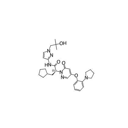 CC(C)(O)Cn1ccc(NC(=O)[C@H](CC2CCCC2)n2ncc(Oc3ccccc3N3CCCC3)cc2=O)n1